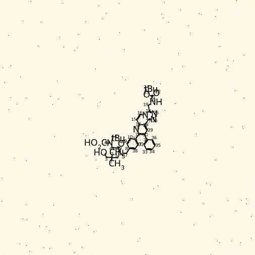 CC(C)(CO)CN(Cc1ccc(-c2nc3ccn4c(CNC(=O)OC(C)(C)C)nnc4c3cc2-c2ccccc2)cc1)C(=O)CN(C(=O)O)C(C)(C)C